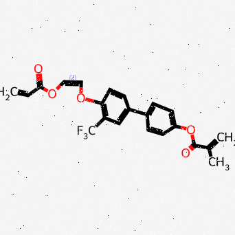 C=CC(=O)O/C=C\Oc1ccc(-c2ccc(OC(=O)C(=C)C)cc2)cc1C(F)(F)F